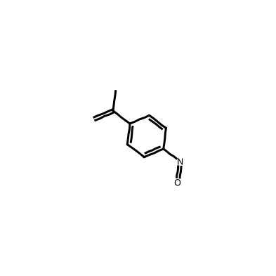 C=C(C)c1ccc(N=O)cc1